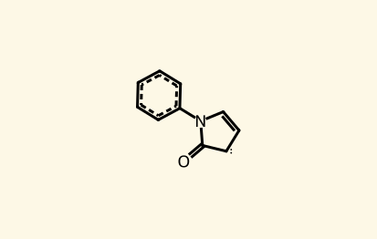 O=C1[C]C=CN1c1ccccc1